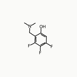 CN(C)Cc1c(O)cc(F)c(F)c1F